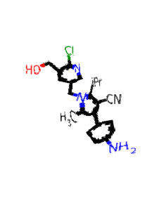 Cc1c(-c2ccc(N)cc2)c(C#N)c(C(C)C)n1Cc1cnc(Cl)c(CO)c1